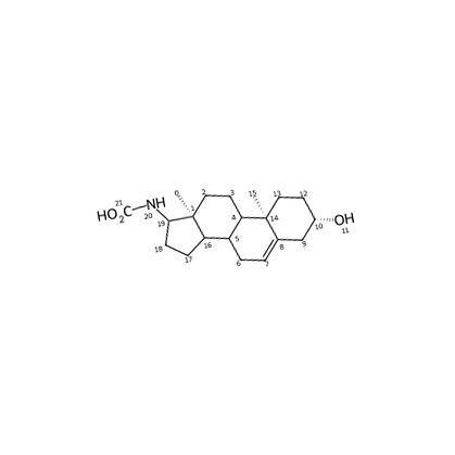 C[C@]12CCC3C(CC=C4C[C@@H](O)CC[C@@]43C)C1CCC2NC(=O)O